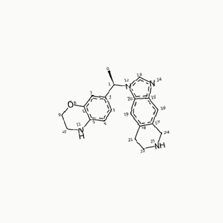 C[C@H](c1ccc2c(c1)OCCN2)n1cnc2cc3c(cc21)CCNC3